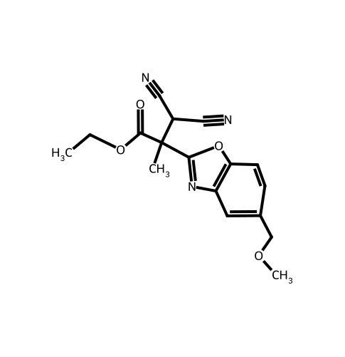 CCOC(=O)C(C)(c1nc2cc(COC)ccc2o1)C(C#N)C#N